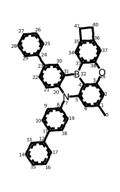 Cc1cc2c3c(c1)N(c1ccc(-c4ccccc4)cc1)c1ccc(-c4ccccc4)cc1B3c1cc3c(cc1O2)CC3